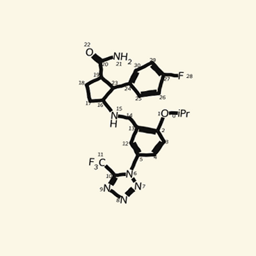 CC(C)Oc1ccc(-n2nnnc2C(F)(F)F)cc1CNC1CCC(C(N)=O)C1c1ccc(F)cc1